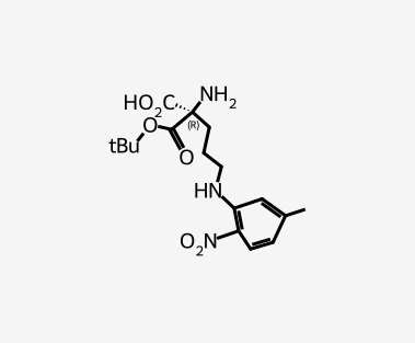 Cc1ccc([N+](=O)[O-])c(NCCC[C@@](N)(C(=O)O)C(=O)OC(C)(C)C)c1